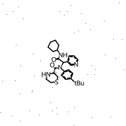 CC(C)(C)c1ccc(N(C(=O)[C@H]2CSCCN2)C(C(=O)NC2CCCCC2)c2cccnc2)cc1